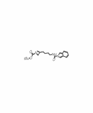 CC(C)(C)OC(=O)N1CC(CCCCNC(=O)n2cc3ccccc3c2)C1